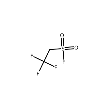 O=S(=O)(F)CC(F)(F)F